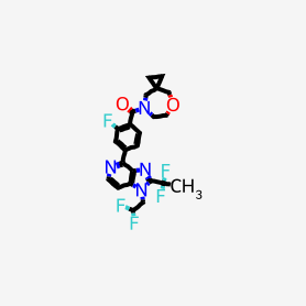 CC(F)(F)c1nc2c(-c3ccc(C(=O)N4CCOCC5(CC5)C4)c(F)c3)nccc2n1CC(F)F